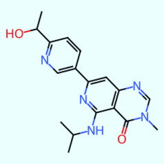 CC(C)Nc1nc(-c2ccc(C(C)O)nc2)cc2ncn(C)c(=O)c12